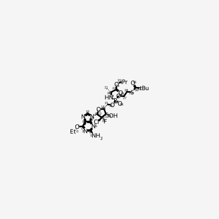 CCOc1nc(N)nc2c1ncn2[C@@H]1O[C@H](CO[P@](=O)(N[C@H](C)C(=O)OC(C)C)OCCSC(=O)C(C)(C)C)[C@@H](O)[C@@]1(F)Cl